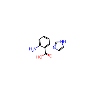 Nc1ccccc1C(=O)O.c1c[nH]cn1